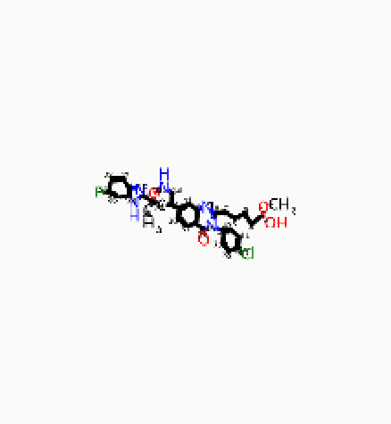 COC(O)CCCCc1nc2cc(C3CNO[C@](C)(c4nc5ccc(F)cc5[nH]4)C3)ccc2c(=O)n1-c1ccc(Cl)cc1